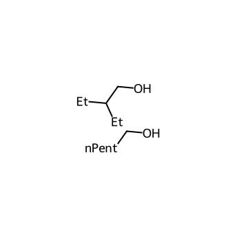 CCC(CC)CO.CCCCCCO